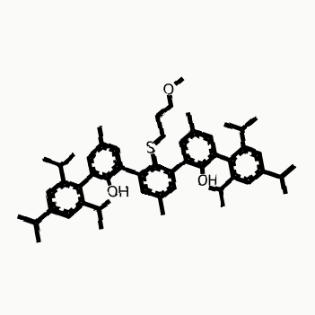 COCCCSc1c(-c2cc(C)cc(-c3c(C(C)C)cc(C(C)C)cc3C(C)C)c2O)cc(C)cc1-c1cc(C)cc(-c2c(C(C)C)cc(C(C)C)cc2C(C)C)c1O